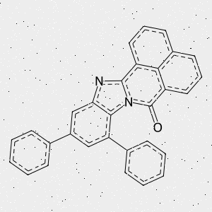 O=c1c2cccc3cccc(c32)c2nc3cc(-c4ccccc4)cc(-c4ccccc4)c3n12